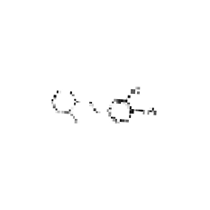 CCCc1ccc(CCC2CCCCN2C)cc1CC